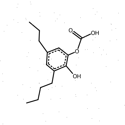 CCCCc1cc(CCC)cc(OC(=O)O)c1O